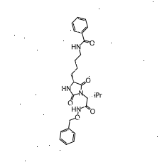 CC(C)[C@H](C(=O)NOCc1ccccc1)N1C(=O)N[C@@H](CCCCNC(=O)c2ccccc2)C1=O